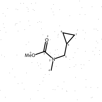 COC(=O)N(C)CC1CC1